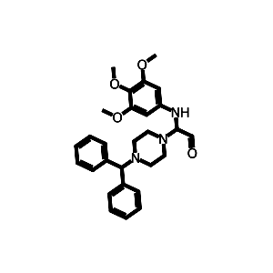 COc1cc(NC(C=O)N2CCN(C(c3ccccc3)c3ccccc3)CC2)cc(OC)c1OC